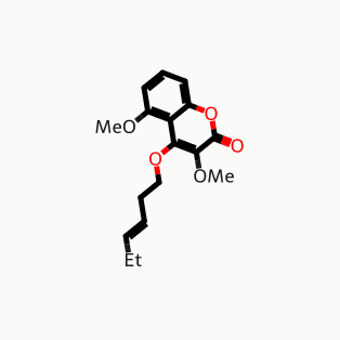 CCC=CCCOc1c(OC)c(=O)oc2cccc(OC)c12